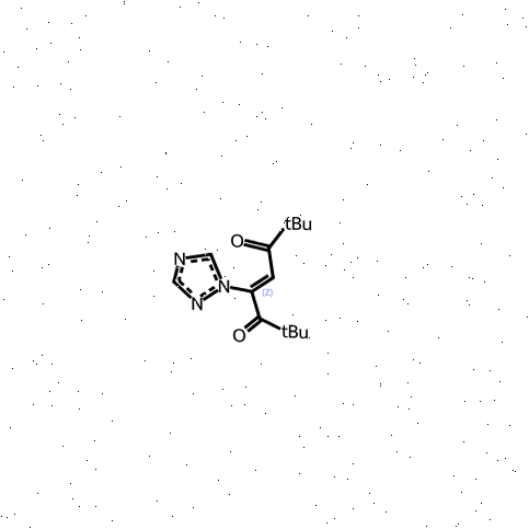 CC(C)(C)C(=O)/C=C(/C(=O)C(C)(C)C)n1cncn1